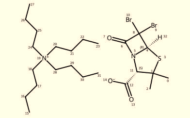 CC1(C)S[C@H]2N(C(=O)C2(Br)Br)[C@H]1C(=O)[O-].CCCC[N+](CCCC)(CCCC)CCCC